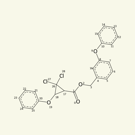 O=C(OCc1cccc(Oc2ccccc2)c1)C1C(Oc2ccccc2)C1(Cl)Cl